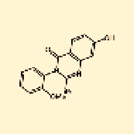 COc1ccccc1-n1c(C(C)C)nc2cc(O)ccc2c1=O